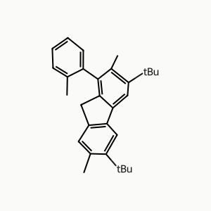 Cc1ccccc1-c1c(C)c(C(C)(C)C)cc2c1Cc1cc(C)c(C(C)(C)C)cc1-2